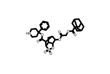 O=C(COC(=O)C12CC3CC(CC(C3)C1)C2)OC1C2CC3C1OS(=O)(=O)C3C2C(=O)OC1(c2ccccc2)CCNCC1